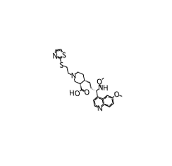 CON[C@@H](CC[C@@H]1CCN(CCSc2nccs2)C[C@@H]1C(=O)O)c1ccnc2ccc(OC)cc12